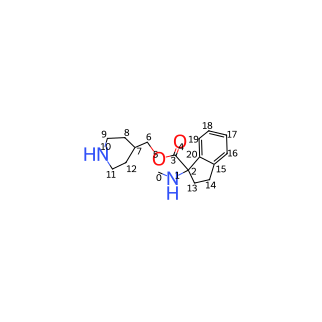 CNC1(C(=O)OCC2CCNCC2)CCc2ccccc21